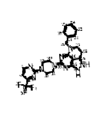 FC(F)(F)c1ccnc(N2CCN(c3nc4c5c(n3)N(Cc3ccccc3)CCC5NN4)CC2)n1